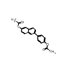 CC(=O)Oc1ccc(-c2ccc3cc(OC(C)=O)ccc3c2)cc1